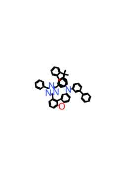 CC1(C)c2ccccc2-c2ccc(N(c3cccc(-c4ccccc4)c3)c3ccc4oc5cccc(-c6nc(-c7ccccc7)nc(-c7ccccc7)n6)c5c4c3)cc21